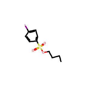 CCCCOS(=O)(=O)c1ccc(I)cc1